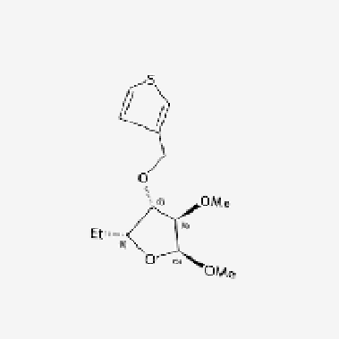 CC[C@H]1O[C@H](OC)[C@H](OC)[C@H]1OCc1ccsc1